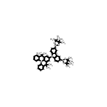 CC1(C)c2ccccc2N2c3ccccc3C(C)(C)c3cc(-n4c5ccc(B6OC(C)(C)C(C)(C)O6)cc5c5cc(B6OC(C)(C)C(C)(C)O6)ccc54)cc1c32